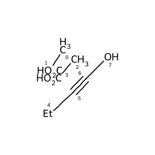 CC(=O)O.CC(=O)O.CCC#CO